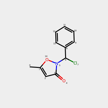 Cc1cc(=O)n(C(Cl)c2ccccc2)o1